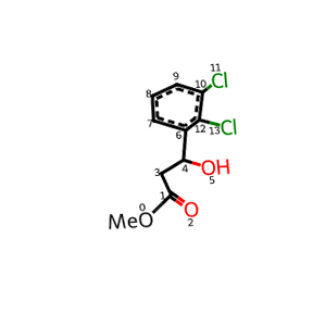 COC(=O)CC(O)c1cccc(Cl)c1Cl